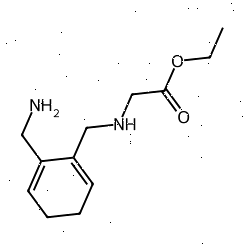 CCOC(=O)CNCC1=CCCC=C1CN